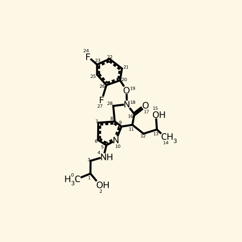 CC(O)CNc1ccc2c(n1)C(CC(C)O)C(=O)N(Oc1ccc(F)cc1F)C2